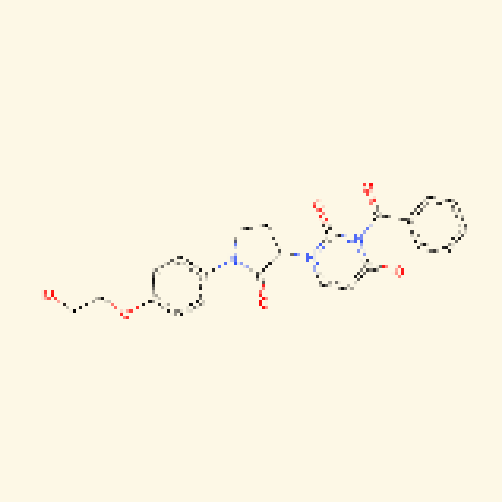 O=C1C(n2ccc(=O)n(C(=O)c3ccccc3)c2=O)CCN1c1ccc(OCCO)cc1